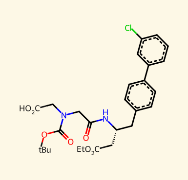 CCOC(=O)C[C@@H](Cc1ccc(-c2cccc(Cl)c2)cc1)NC(=O)CN(CC(=O)O)C(=O)OC(C)(C)C